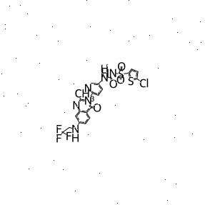 Cc1nc2cc(NCC(F)(F)F)ccc2c(=O)n1-c1ccc(NC(=O)NS(=O)(=O)c2ccc(Cl)s2)cn1